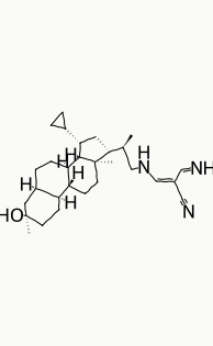 C[C@@H](CN/C=C(/C#N)C=N)[C@H]1C[C@@H](C2CC2)[C@H]2[C@@H]3CC[C@@H]4C[C@](C)(O)CC[C@@H]4[C@H]3CC[C@@]21C